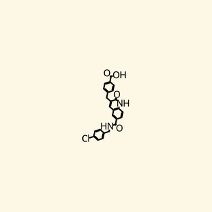 O=C(O)c1ccc(Cc2cc3cc(C(=O)NCc4ccc(Cl)cc4)ccc3[nH]c2=O)cc1